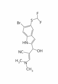 CN(C)/C=C(\C#N)C(O)c1cc2cc(SC(F)F)c(Br)cc2[nH]1